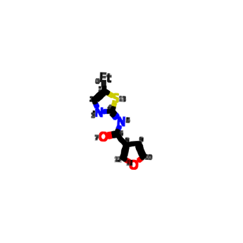 CCC1=C[N]C(=NC(=O)c2ccoc2)S1